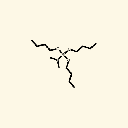 CCCCO[Si](OCCCC)(OCCCC)N(C)C